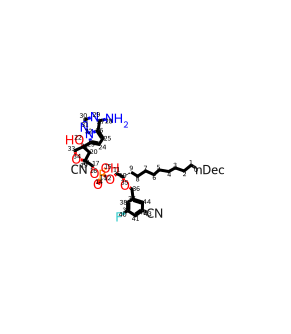 CCCCCCCCCCCCCCCCCCC[C@@H](COP(=O)(O)OC[C@]1(C#N)C[C@@](O)(c2ccc3c(N)ncnn23)CO1)OCc1cc(F)cc(C#N)c1